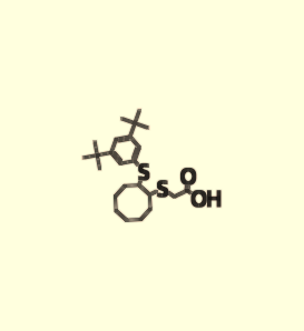 CC(C)(C)c1cc(SC2CCCCCCC2SCC(=O)O)cc(C(C)(C)C)c1